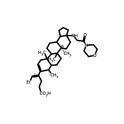 CC/C=C(\CCC(=O)O)C1=CCC2(C)C(CCC3(C)C2CCC2C4CCCC4(NCC(=O)N4CCOCC4)CC[C@]23C)C1C